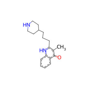 Cc1c(CCCC2CCNCC2)[nH]c2ccccc2c1=O